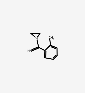 Cc1ccccc1C(=N)N1CC1